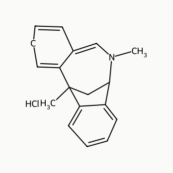 CN1C=C2C=CCC=C2C2(C)CC1c1ccccc12.Cl